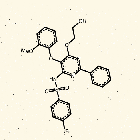 COc1ccccc1Oc1c(NS(=O)(=O)c2ccc(C(C)C)cc2)nc(-c2ccccc2)nc1OCCO